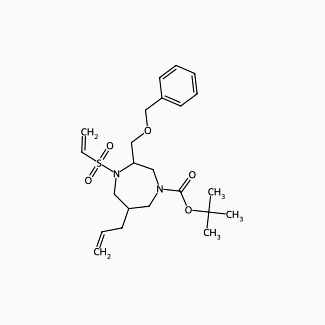 C=CCC1CN(C(=O)OC(C)(C)C)CC(COCc2ccccc2)N(S(=O)(=O)C=C)C1